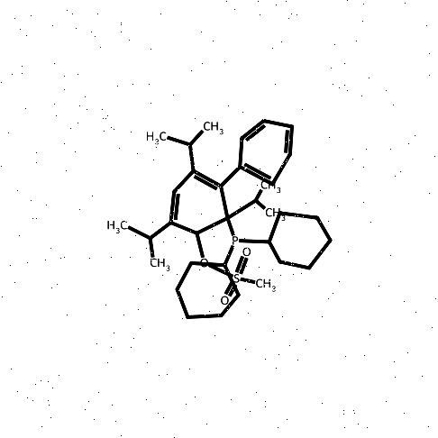 CC(C)C1=CC(C(C)C)=C(c2ccccc2)C(C(C)C)(P(C2CCCCC2)C2CCCCC2)C1OS(C)(=O)=O